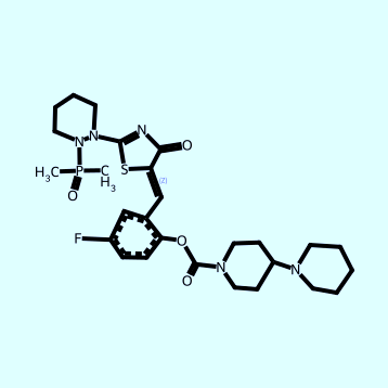 CP(C)(=O)N1CCCCN1C1=NC(=O)/C(=C/c2cc(F)ccc2OC(=O)N2CCC(N3CCCCC3)CC2)S1